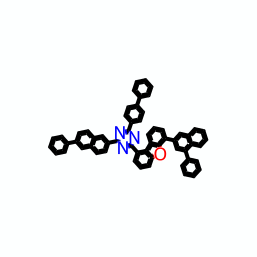 c1ccc(-c2ccc(-c3nc(-c4ccc5cc(-c6ccccc6)ccc5c4)nc(-c4cccc5oc6c(-c7cc(-c8ccccc8)c8ccccc8c7)cccc6c45)n3)cc2)cc1